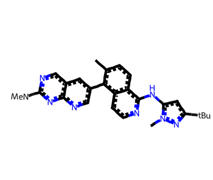 CNc1ncc2cc(-c3c(C)ccc4c(Nc5cc(C(C)(C)C)nn5C)nccc34)cnc2n1